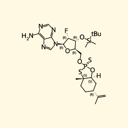 C=C(C)[C@@H]1CC[C@]2(C)SP(=S)(OC[C@H]3O[C@@H](n4cnc5c(N)ncnc54)[C@H](F)[C@@H]3O[Si](C)(C)C(C)(C)C)O[C@H]2C1